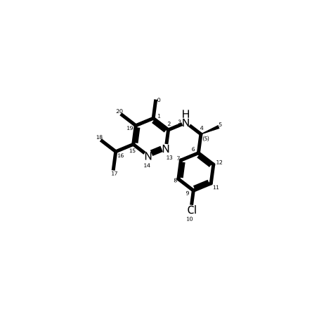 Cc1c(N[C@@H](C)c2ccc(Cl)cc2)nnc(C(C)C)c1C